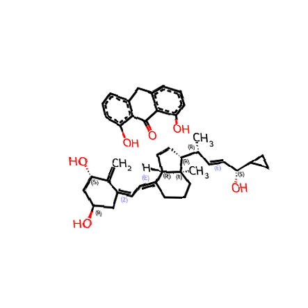 C=C1/C(=C\C=C2/CCC[C@]3(C)[C@@H]([C@H](C)/C=C/[C@@H](O)C4CC4)CC[C@@H]23)C[C@@H](O)C[C@@H]1O.O=C1c2c(O)cccc2Cc2cccc(O)c21